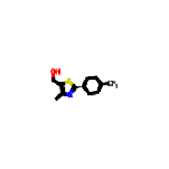 Cc1nc([C@H]2CC[C@H](C(F)(F)F)CC2)sc1CO